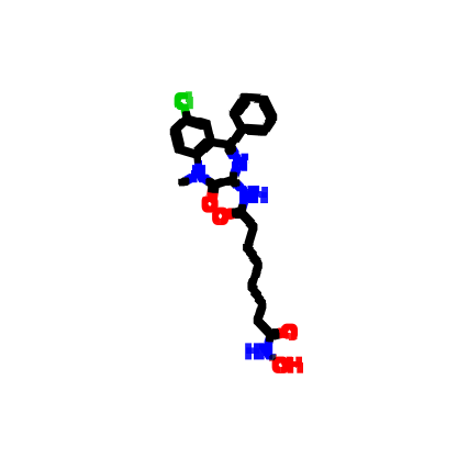 CN1C(=O)C(NC(=O)CCCCCCC(=O)NO)N=C(c2ccccc2)c2cc(Cl)ccc21